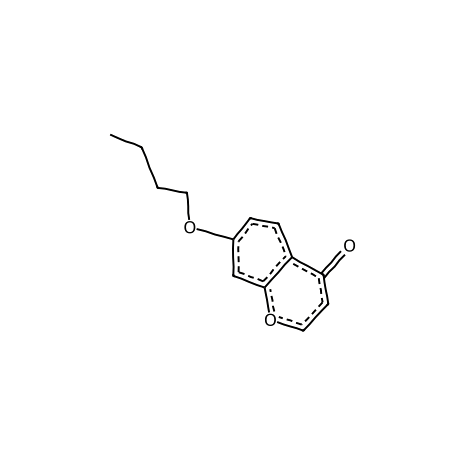 CCCCOc1ccc2c(=O)ccoc2c1